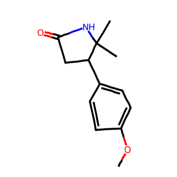 COc1ccc(C2CC(=O)NC2(C)C)cc1